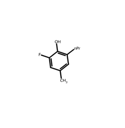 CCCc1cc(C)cc(F)c1O